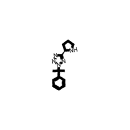 CC(C)(c1ccccc1)n1nnc([C@H]2CCCN2)n1